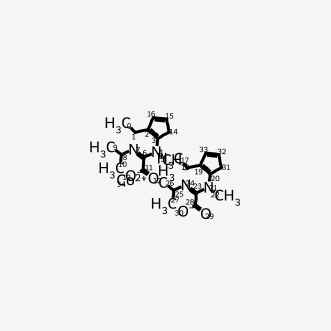 CCC1=C(N(C)C(=NC(C)C)C(=O)[O-])CC=C1.CCC1=C(N(C)C(=NC(C)C)C(=O)[O-])CC=C1.[Co+2]